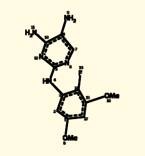 COc1cc(Nc2ncc(N)c(N)n2)c(F)c(OC)c1